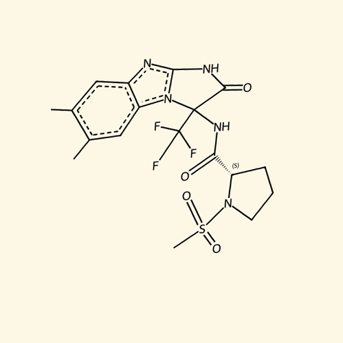 Cc1cc2nc3n(c2cc1C)C(NC(=O)[C@@H]1CCCN1S(C)(=O)=O)(C(F)(F)F)C(=O)N3